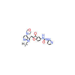 Cn1cc(C=C2Oc3ccc(NC(=O)Nc4cccnc4)cc3C2=O)c2c(N3CCOCC3)ccnc21